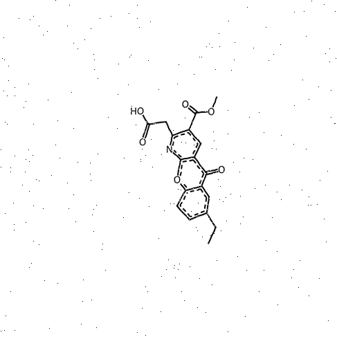 CCc1ccc2oc3nc(CC(=O)O)c(C(=O)OC)cc3c(=O)c2c1